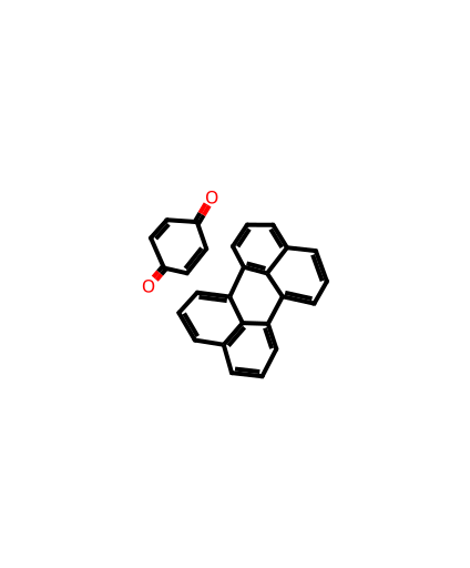 O=C1C=CC(=O)C=C1.c1cc2cccc3c4cccc5cccc(c(c1)c23)c54